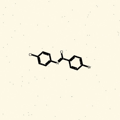 Cl/C(=N\c1ccc(Cl)cc1)c1ccc(Br)cc1